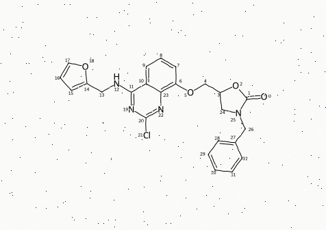 O=C1OC(COc2cccc3c(NCc4ccco4)nc(Cl)nc23)CN1Cc1ccccc1